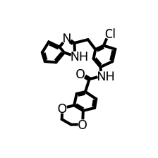 O=C(Nc1ccc(Cl)c(Cc2nc3ccccc3[nH]2)c1)c1ccc2c(c1)OCCO2